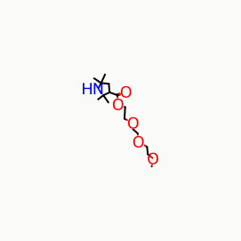 COCCOCCOCCOC(=O)C1CC(C)(C)NC1(C)C